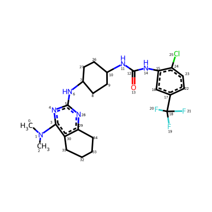 CN(C)c1nc(NC2CCC(NC(=O)Nc3cc(C(F)(F)F)ccc3Cl)CC2)nc2c1CCCC2